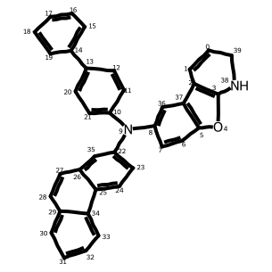 C1=Cc2c(oc3ccc(N(c4ccc(-c5ccccc5)cc4)c4ccc5c(ccc6ccccc65)c4)cc23)NC1